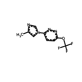 Cc1cn(-c2ccc(OC(F)(F)F)nn2)cn1